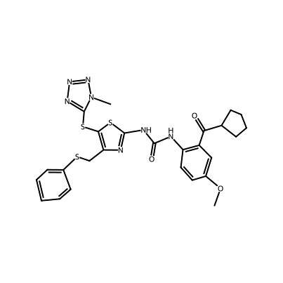 COc1ccc(NC(=O)Nc2nc(CSc3ccccc3)c(Sc3nnnn3C)s2)c(C(=O)C2CCCC2)c1